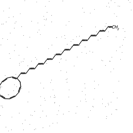 C=CC=CC=CC=CC=CC=CC=CC=CC=CC=CC=CC1=CC=CC=CC=CC=CC=CC1